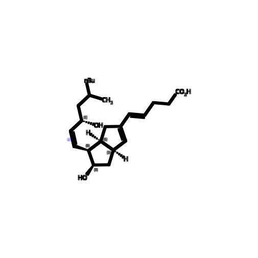 CCCCC(C)C[C@H](O)/C=C\[C@H]1[C@H]2CC(C=CCCC(=O)O)=C[C@H]2C[C@H]1O